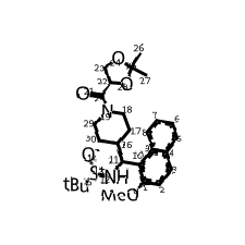 COc1ccc2ccccc2c1C(N[S@@+]([O-])C(C)(C)C)C1CCN(C(=O)[C@H]2COC(C)(C)O2)CC1